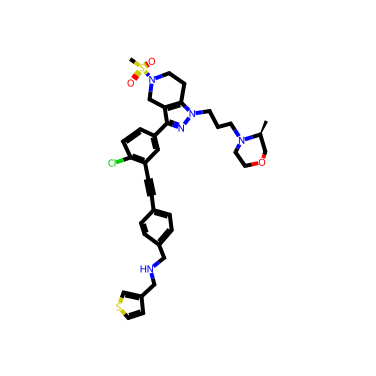 C[C@H]1COCCN1CCCn1nc(-c2ccc(Cl)c(C#Cc3ccc(CNCc4ccsc4)cc3)c2)c2c1CCN(S(C)(=O)=O)C2